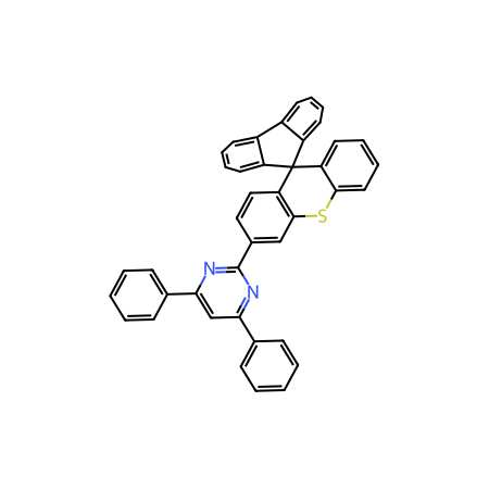 c1ccc(-c2cc(-c3ccccc3)nc(-c3ccc4c(c3)Sc3ccccc3C43c4ccccc4-c4ccccc43)n2)cc1